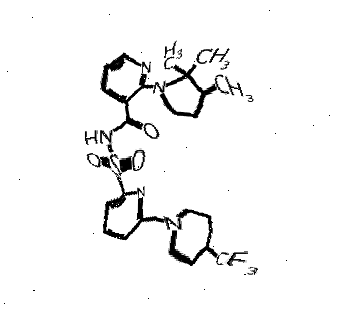 CC1CCN(c2ncccc2C(=O)NS(=O)(=O)c2cccc(N3CCC(C(F)(F)F)CC3)n2)C1(C)C